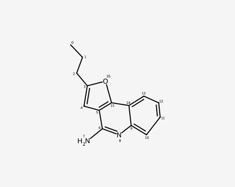 CCCc1cc2c(N)nc3ccccc3c2o1